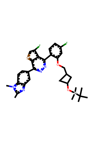 Cc1nc2cc(-c3nnc(-c4ccc(F)cc4OCC4CC(O[Si](C)(C)C(C)(C)C)C4)c4c(F)csc34)ccc2n1C